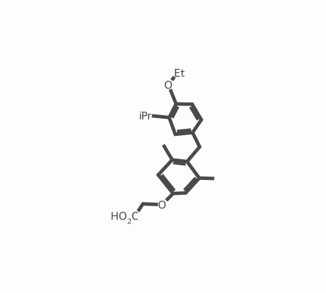 CCOc1ccc(Cc2c(C)cc(OCC(=O)O)cc2C)cc1C(C)C